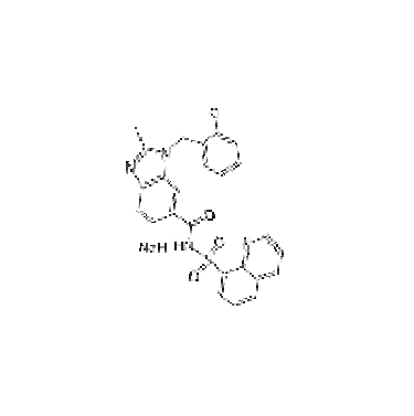 Cc1nc2ccc(C(=O)NS(=O)(=O)c3cccc4cccnc34)cc2n1Cc1ccccc1Cl.[NaH]